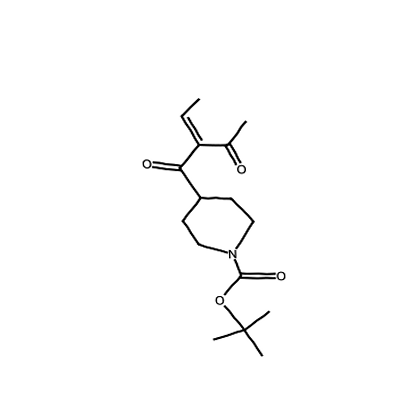 C/C=C(\C(C)=O)C(=O)C1CCN(C(=O)OC(C)(C)C)CC1